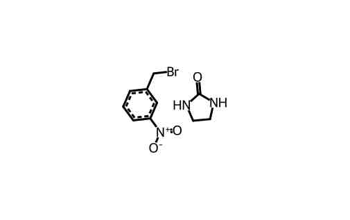 O=C1NCCN1.O=[N+]([O-])c1cccc(CBr)c1